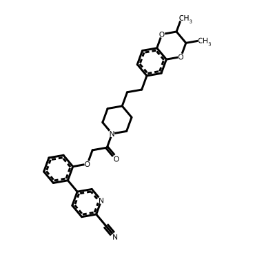 CC1Oc2ccc(CCC3CCN(C(=O)COc4ccccc4-c4ccc(C#N)nc4)CC3)cc2OC1C